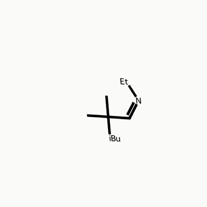 CC/N=C\C(C)(C)C(C)CC